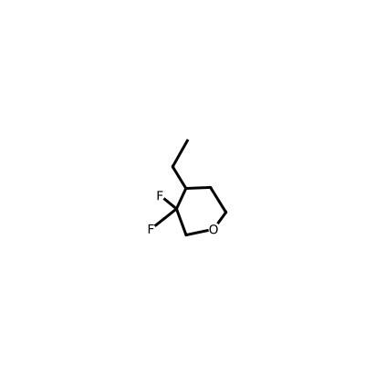 CCC1CCOCC1(F)F